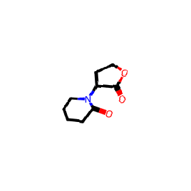 O=C1OCCC1N1CCCCC1=O